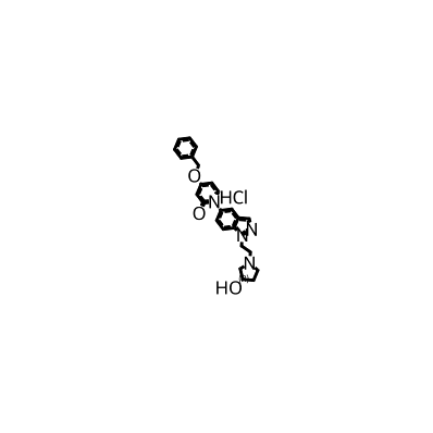 Cl.O=c1cc(OCc2ccccc2)ccn1-c1ccc2c(cnn2CCN2CC[C@@H](O)C2)c1